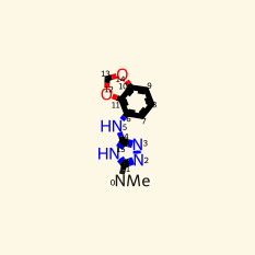 CNc1nnc(Nc2cccc3c2OCO3)[nH]1